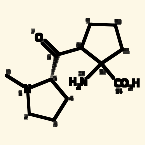 CN1CCC[C@H]1C(=O)C1CCCC1(N)C(=O)O